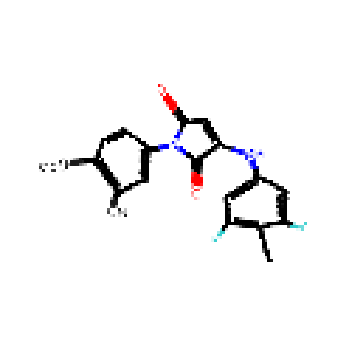 COc1ccc(N2C(=O)C=C(Nc3cc(F)c(C)c(F)c3)C2=O)cc1C#N